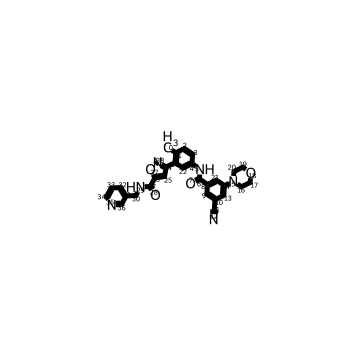 Cc1ccc(NC(=O)c2cc(C#N)cc(N3CCOCC3)c2)cc1-c1cc(C(=O)NCc2cccnc2)on1